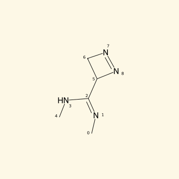 CN=C(NC)C1CN=N1